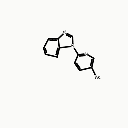 CC(=O)c1ccc(-n2cnc3ccccc32)nc1